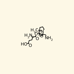 C[C@@]1(C(=O)OC(=O)[C@@H](N)CCC(=O)O)CCCN1C(=O)CN